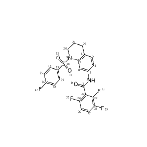 O=C(Nc1ccc2c(c1)N(S(=O)(=O)c1ccc(F)cc1)CCC2)c1c(F)ccc(F)c1F